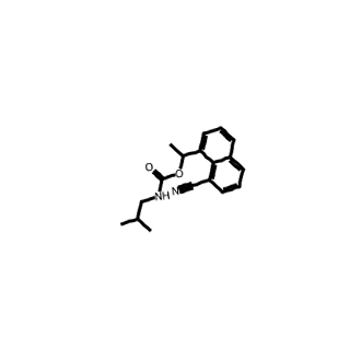 CC(C)CNC(=O)OC(C)c1cccc2cccc(C#N)c12